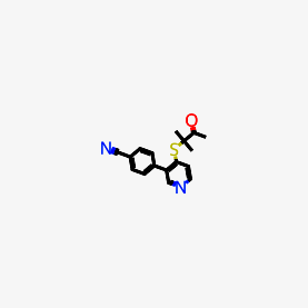 CC(=O)C(C)(C)Sc1ccncc1-c1ccc(C#N)cc1